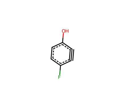 Oc1c#cc(F)cc1